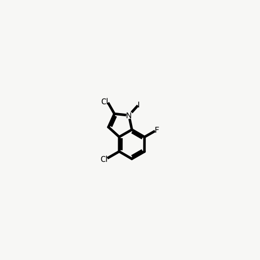 Fc1ccc(Cl)c2cc(Cl)n(I)c12